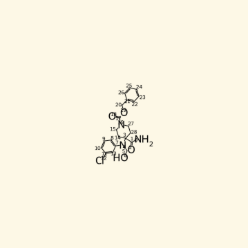 NC(=O)C1(N(CO)c2cccc(Cl)c2)CCN(C(=O)OCc2ccccc2)CC1